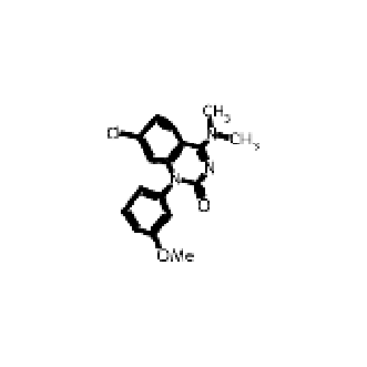 COc1cccc(-n2c(=O)nc(N(C)C)c3ccc(Cl)cc32)c1